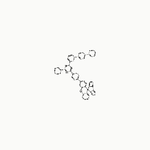 c1ccc(-c2ccc(-c3cccc(-c4nc(-c5ccccc5)nc(-c5ccc(-c6ccc7c(c6)Oc6ccccc6C76c7ccccc7-c7ccccc76)cc5)n4)c3)cc2)cc1